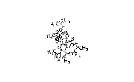 CC(C)COC(=O)N(n1c(=O)c2cc(-c3ccnn3C)c(C(C)C)cc2n(C(=O)OCC(C)C)c1=O)S(C)(=O)=O